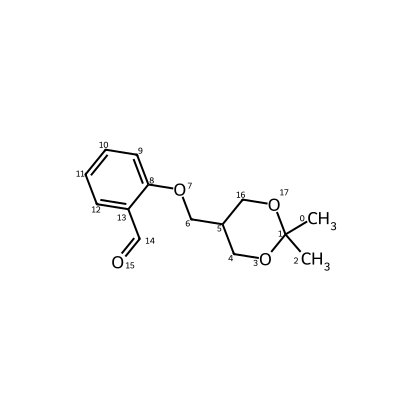 CC1(C)OCC(COc2ccccc2C=O)CO1